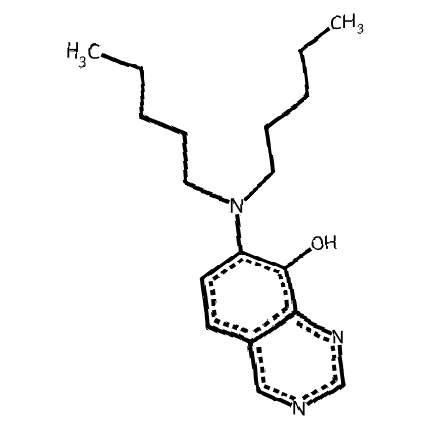 CCCCCN(CCCCC)c1ccc2cncnc2c1O